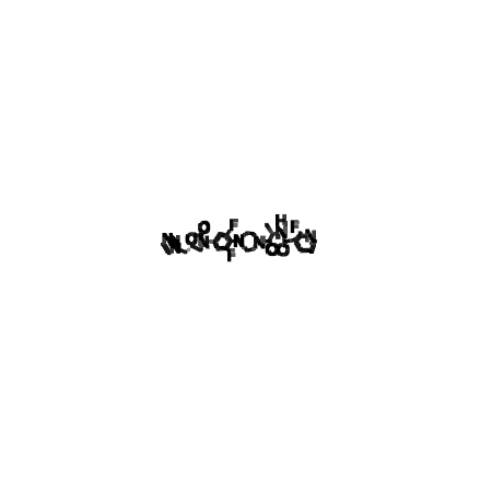 C[C@@H](NC(=O)c1cccnc1F)C(=O)N1CCN(c2c(F)cc(N3C[C@H](Cn4ccnn4)OC3=O)cc2F)CC1